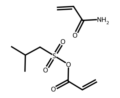 C=CC(=O)OS(=O)(=O)CC(C)C.C=CC(N)=O